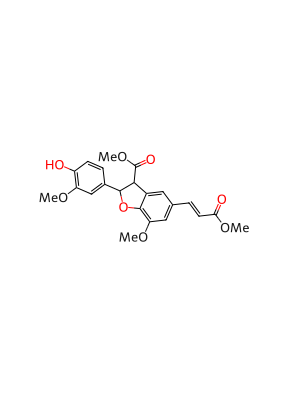 COC(=O)/C=C/c1cc(OC)c2c(c1)C(C(=O)OC)C(c1ccc(O)c(OC)c1)O2